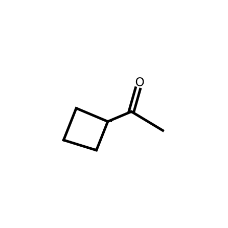 CC(=O)[C]1CCC1